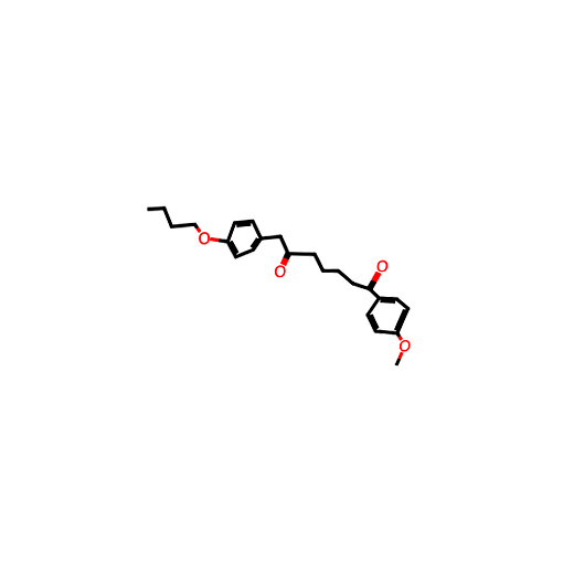 CCCCOc1ccc(CC(=O)CCCCC(=O)c2ccc(OC)cc2)cc1